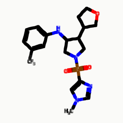 Cn1cnc(S(=O)(=O)N2CC(Nc3cccc(C(F)(F)F)c3)C(C3CCOC3)C2)c1